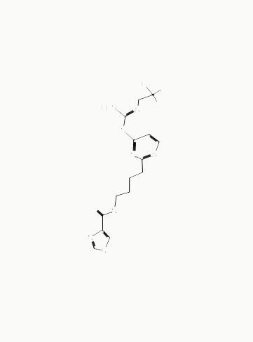 NC(=NCC(F)(F)F)Nc1ccnc(CCCCNC(=O)c2c[nH]cn2)n1